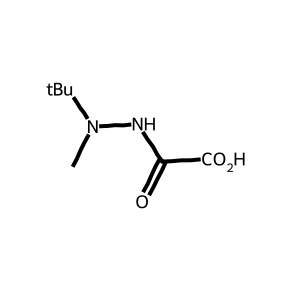 CN(NC(=O)C(=O)O)C(C)(C)C